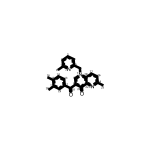 Cc1cccc(Cn2cc(C(=O)c3ccc(C)c(C)c3)c(=O)c3nc(C)ccc32)n1